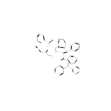 C[C@@H](O[C@@H]1[C@@H](NC(=O)c2ccccc2)C(=O)N1C(C(=O)OC(c1ccccc1)c1ccccc1)=P(c1ccccc1)(c1ccccc1)c1ccccc1)C(=O)C=[N+]=[N-]